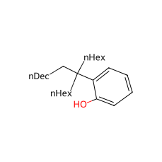 CCCCCCCCCCCC(CCCCCC)(CCCCCC)c1ccccc1O